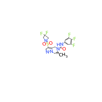 C[C@H]1Cn2ncc(S(=O)(=O)N3CC(F)(F)C3)c2CN1C(=O)Nc1cc(F)c(F)c(F)c1